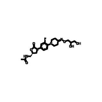 CC(=O)NC[C@H]1CN(c2ccc(N3CCC(=NOCC(O)CO)CC3)c(F)c2)C(=O)O1